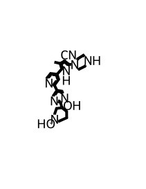 Cc1c(-c2ccnc(-c3cnc(C4(O)CCCN(O)CC4)nc3)c2)[nH]c(N2CCNCC2)c1C#N